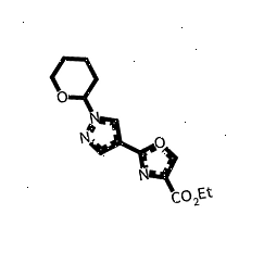 CCOC(=O)c1coc(-c2cnn(C3CCCCO3)c2)n1